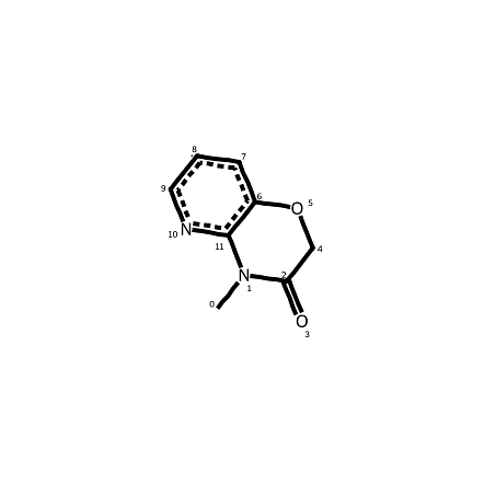 CN1C(=O)COc2c[c]cnc21